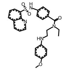 CCN(CCNc1ccc(OC)cc1)C(=O)c1ccc(NS(=O)(=O)c2cccc3cccnc23)cc1